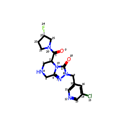 O=C(C1CNCc2nn(Cc3cncc(Cl)c3)c(=O)n21)N1CC[C@H](F)C1